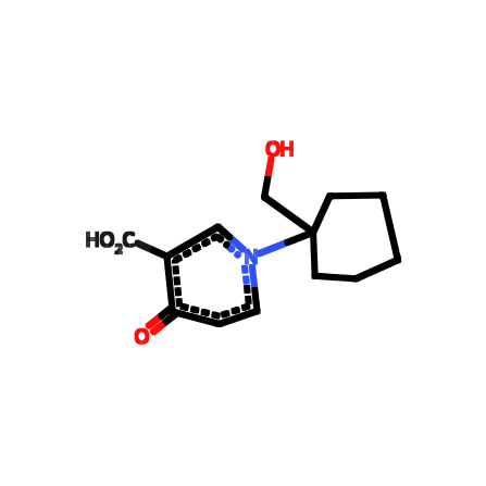 O=C(O)c1cn(C2(CO)CCCCC2)ccc1=O